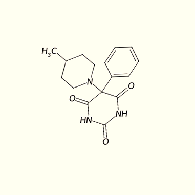 CC1CCN(C2(c3ccccc3)C(=O)NC(=O)NC2=O)CC1